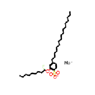 CCCCCCCCCCCCCCCCCc1ccc(S(=O)(=O)[O-])c(OC(F)CCCCCCCC)c1.[Na+]